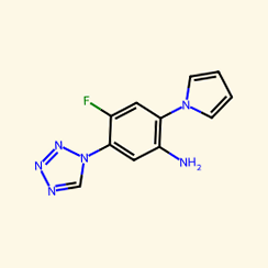 Nc1cc(-n2cnnn2)c(F)cc1-n1cccc1